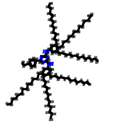 CCCCCCCCCCCCCc1cc(Nc2nc(Nc3cc(CCCCCCCCCCCCC)c(CCCCCCCCCCCCC)c(CCCCCCCCCCCCC)c3)nc(-c3ccc(CC)cc3)n2)cc(CCCCCCCCCCCCC)c1CCCCCCCCCCCCC